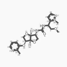 COCC(NC(=O)N[C@H]1CO[C@H]2[C@@H]1OC[C@@H]2Oc1cccnc1C)c1ccnn1C